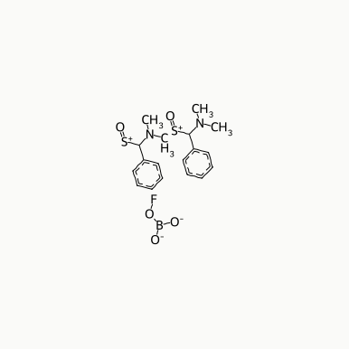 CN(C)C([S+]=O)c1ccccc1.CN(C)C([S+]=O)c1ccccc1.[O-]B([O-])OF